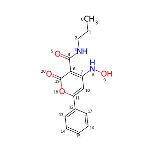 CCCNC(=O)c1c(NO)cc(-c2ccccc2)oc1=O